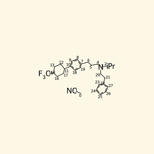 CC#N.CC(C)N(CCCc1ccc(C2CCC(C(F)(F)F)CC2)cc1)CCc1ccccc1